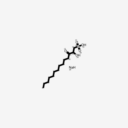 CCCCCCCCCCCC(=O)C(O)CS(=O)(=O)O.[NaH]